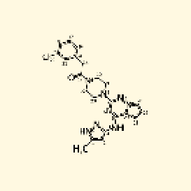 Cc1cc(Nc2nc(N3CCN(C(=O)Cc4cccc(Cl)c4)CC3)nn3cccc23)n[nH]1